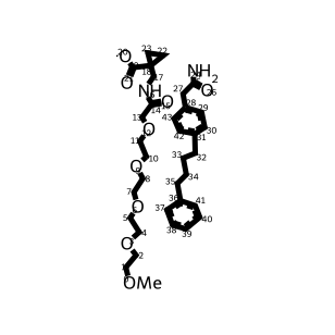 COCCOCCOCCOCCOCC(=O)NCC1(C([O])=O)CC1.NC(=O)Cc1ccc(CCCCc2ccccc2)cc1